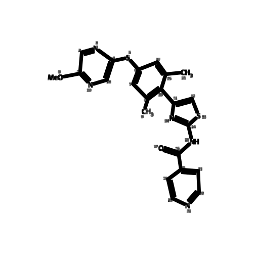 COc1cnc(Sc2cc(C)c(-c3csc(NC(=O)c4ccncc4)n3)c(C)c2)cn1